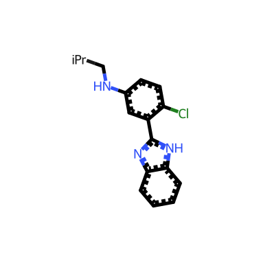 CC(C)CNc1ccc(Cl)c(-c2nc3ccccc3[nH]2)c1